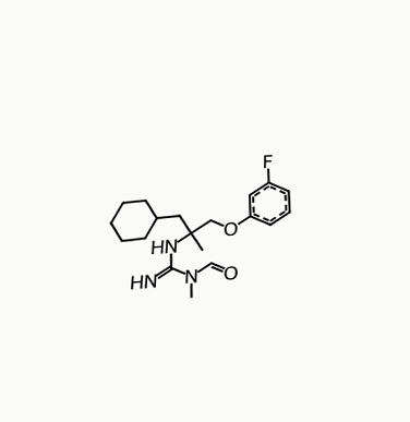 CN(C=O)C(=N)NC(C)(COc1cccc(F)c1)CC1CCCCC1